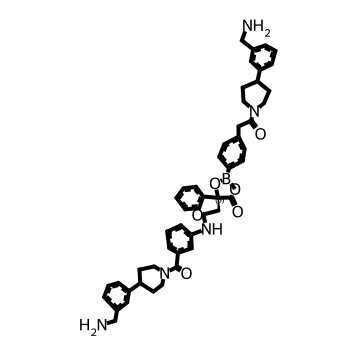 NCc1cccc(C2CCN(C(=O)Cc3ccc(B4OC(=O)[C@](CC(=O)Nc5cccc(C(=O)N6CCC(c7cccc(CN)c7)CC6)c5)(c5ccccc5)O4)cc3)CC2)c1